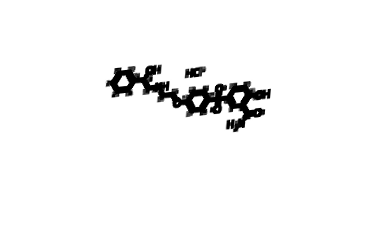 Cl.NC(=O)c1cc(S(=O)(=O)c2ccc(OCCNC[C@H](O)c3ccccc3)cc2)ccc1O